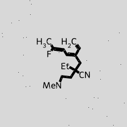 C=CC(=CC=C(C)F)CC(C#N)(CC)CCNC